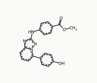 COC(=O)c1ccc(Nc2nc3cccc(-c4ccc(O)cc4)n3n2)cc1